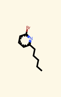 CCCCCc1cccc(Br)n1